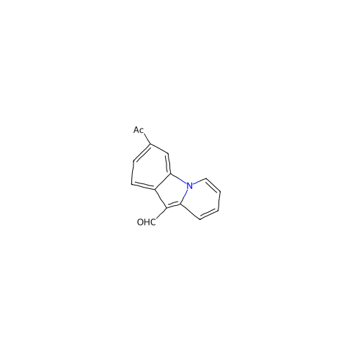 CC(=O)c1ccc2c(C=O)c3ccccn3c2c1